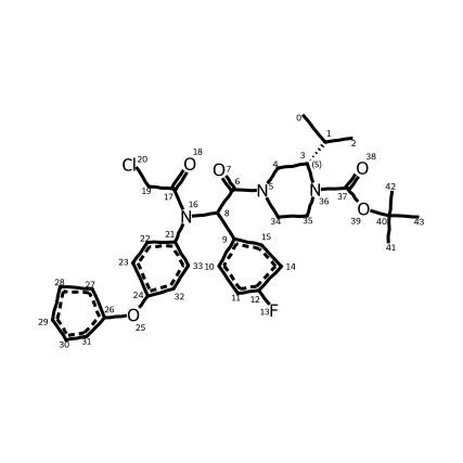 CC(C)[C@H]1CN(C(=O)C(c2ccc(F)cc2)N(C(=O)CCl)c2ccc(Oc3ccccc3)cc2)CCN1C(=O)OC(C)(C)C